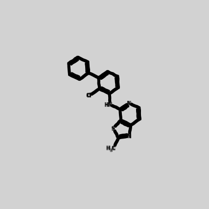 Cc1nc2ccnc(Nc3cccc(-c4ccccc4)c3Cl)c2s1